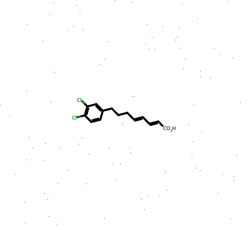 O=C(O)/C=C/C=C/CCCc1ccc(Cl)c(Cl)c1